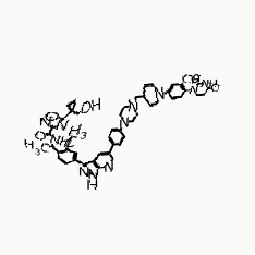 Cc1cc(-c2n[nH]c3ncc(-c4ccc(N5CCN(CC6CCN(c7ccc(N8CCC(=O)NC8=O)c(C)c7)CC6)CC5)cc4)cc23)ccc1C(C)NC(=O)c1noc(C2(CO)CC2)n1